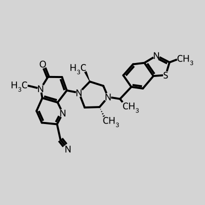 Cc1nc2ccc(C(C)N3C[C@H](C)N(c4cc(=O)n(C)c5ccc(C#N)nc45)C[C@H]3C)cc2s1